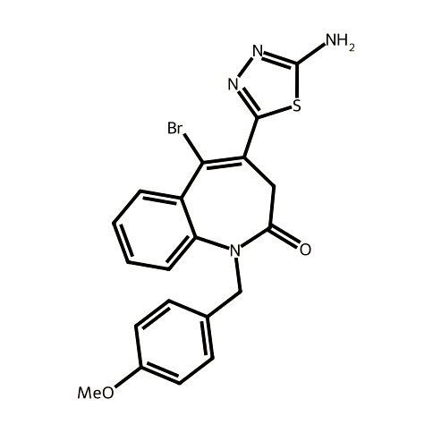 COc1ccc(CN2C(=O)CC(c3nnc(N)s3)=C(Br)c3ccccc32)cc1